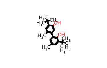 Cc1cc(-c2cc(O)c(C(C)(C)C)cc2C)c(O)c(C(C)(C)C)c1